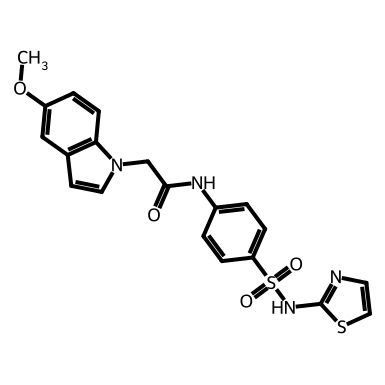 COc1ccc2c(ccn2CC(=O)Nc2ccc(S(=O)(=O)Nc3nccs3)cc2)c1